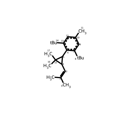 CC(C)=CC1C(c2c(C(C)(C)C)cc(C)cc2C(C)(C)C)C1(C)C